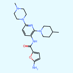 CC1CCN(c2nc(N3CCN(C)CC3)ccc2NC(=O)c2ccc(N)o2)CC1